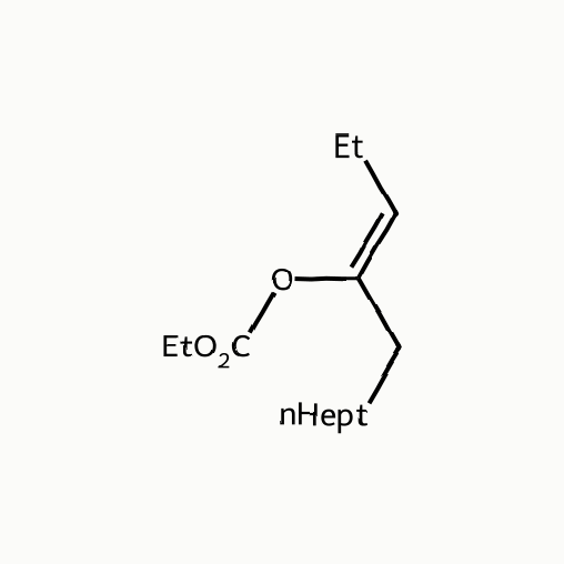 CCC=C(CCCCCCCC)OC(=O)OCC